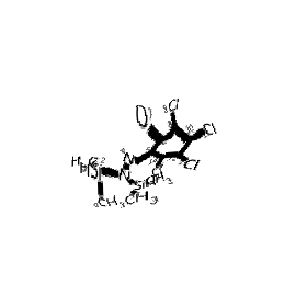 C[SiH](C)N(N=C1C(=O)C(Cl)=C(Cl)C(Cl)=C1Cl)[SiH](C)C